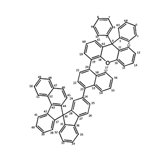 c1ccc(C2(c3ccccc3)c3ccccc3Oc3c(-c4ccc(-c5ccc6c(c5)C5(c7ccccc7-6)c6ccccc6-c6c5ccc5ccccc65)c5ccccc45)cccc32)cc1